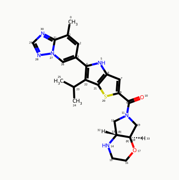 Cc1cc(-c2[nH]c3cc(C(=O)N4C[C@H]5NCCO[C@@H]5C4)sc3c2C(C)C)cn2ncnc12